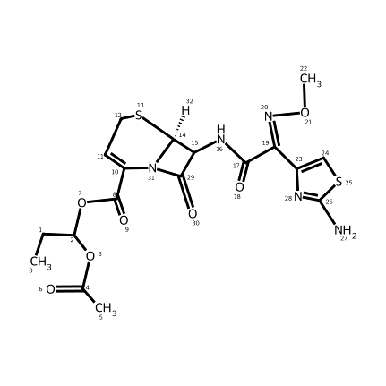 CCC(OC(C)=O)OC(=O)C1=CCS[C@H]2C(NC(=O)C(=NOC)c3csc(N)n3)C(=O)N12